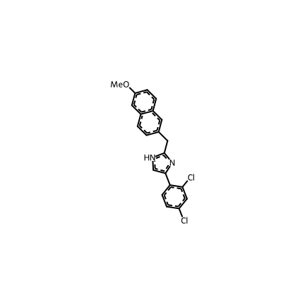 COc1ccc2cc(Cc3nc(-c4ccc(Cl)cc4Cl)c[nH]3)ccc2c1